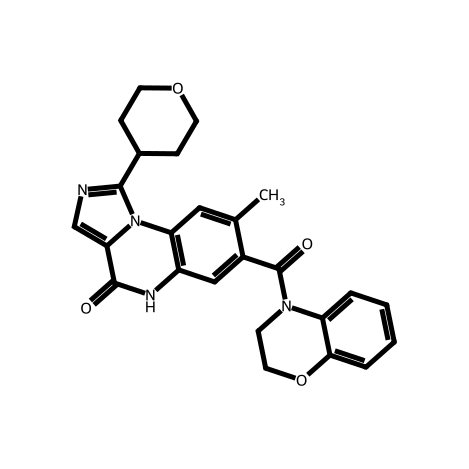 Cc1cc2c(cc1C(=O)N1CCOc3ccccc31)[nH]c(=O)c1cnc(C3CCOCC3)n12